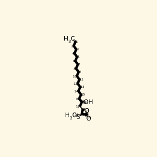 CCCCCCCCCCCCCCCCC[C@@H](O)C[C@H]1OC(=O)[C@H]1SC